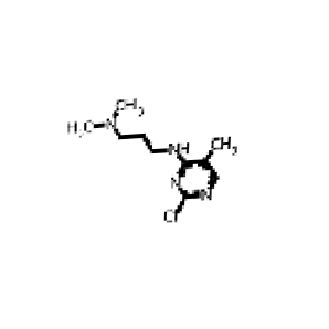 Cc1cnc(Cl)nc1NCCCN(C)C